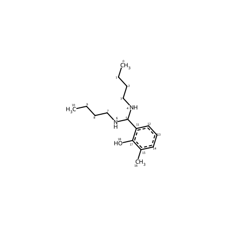 CCCCNC(NCCCC)c1c[c]cc(C)c1O